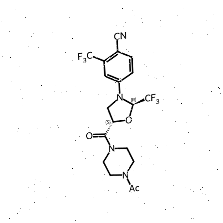 CC(=O)N1CCN(C(=O)[C@@H]2CN(c3ccc(C#N)c(C(F)(F)F)c3)[C@@H](C(F)(F)F)O2)CC1